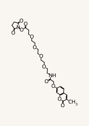 Cc1cc2ccc(OCC(=O)NCCOCCOCCOCCOCCC(=O)ON3C(=O)CCC3=O)cc2oc1=O